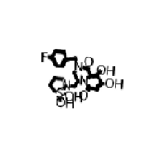 O=C1c2c(O)c(O)cc(=O)n2C(CN2CCCCS2(O)O)CN1Cc1ccc(F)cc1